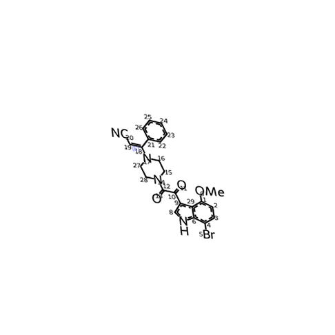 COc1ccc(Br)c2[nH]cc(C(=O)C(=O)N3CCN(/C(=C/C#N)c4ccccc4)CC3)c12